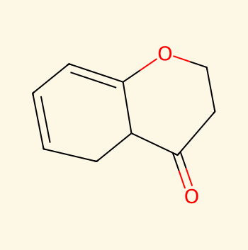 O=C1CCOC2=CC=CCC12